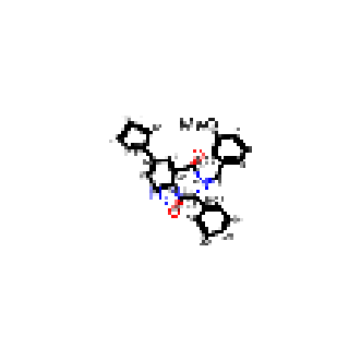 COc1cccc(CN(C(=O)c2cccc(-c3ccccc3)c2)[C@@H](C(N)=O)c2ccccc2)c1